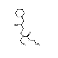 CCOC(=O)N(CC)OCC(O)CN1CCCCC1